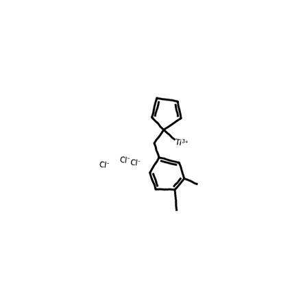 Cc1ccc(C[C]2([Ti+3])C=CC=C2)cc1C.[Cl-].[Cl-].[Cl-]